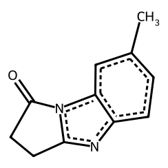 Cc1ccc2nc3n(c2c1)C(=O)CC3